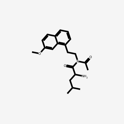 COc1ccc2cccc(CCN(C(C)=O)C(=O)C(N)CC(C)C)c2c1